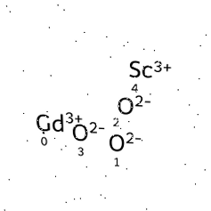 [Gd+3].[O-2].[O-2].[O-2].[Sc+3]